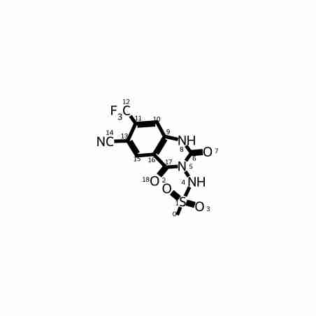 CS(=O)(=O)Nn1c(=O)[nH]c2cc(C(F)(F)F)c(C#N)cc2c1=O